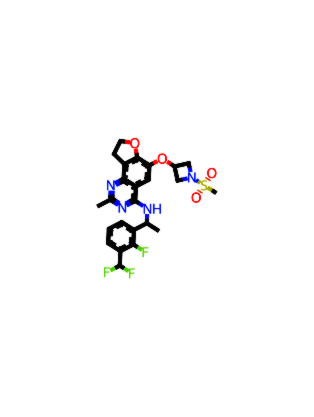 Cc1nc(NC(C)c2cccc(C(F)F)c2F)c2cc(OC3CN(S(C)(=O)=O)C3)c3c(c2n1)CCO3